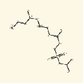 CC(C)CS(=O)(=O)CCC(C)CCNCC(C)CCO